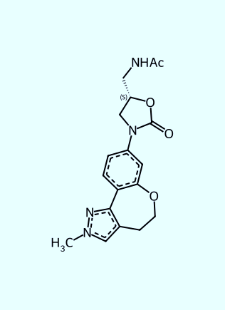 CC(=O)NC[C@H]1CN(c2ccc3c(c2)OCCc2cn(C)nc2-3)C(=O)O1